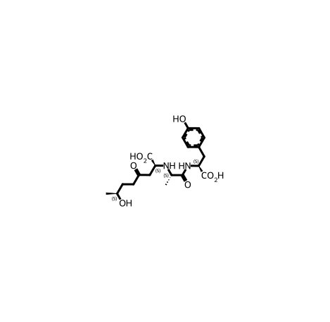 C[C@H](O)CCC(=O)C[C@H](N[C@@H](C)C(=O)N[C@@H](Cc1ccc(O)cc1)C(=O)O)C(=O)O